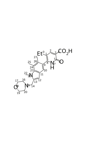 CCc1cc(C(=O)O)c(=O)[nH]c1-c1cc2cc(CN3CCOCC3)n(C)c2c(C)c1C